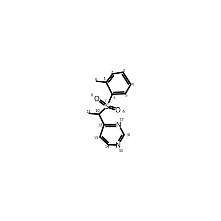 Cc1ccccc1S(=O)(=O)C(C)c1ccncn1